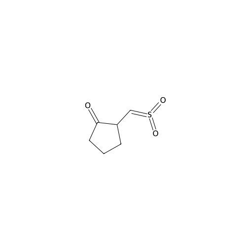 O=C1CCCC1C=S(=O)=O